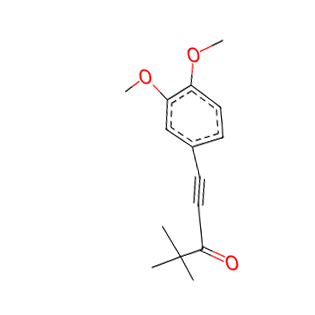 COc1ccc(C#CC(=O)C(C)(C)C)cc1OC